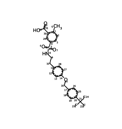 Cc1ccc(S(=O)(=O)NCCc2ccc(OCc3ccc(C(F)(F)F)cc3)cc2)cc1C(=O)O